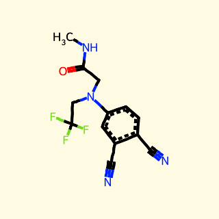 CNC(=O)CN(CC(F)(F)F)c1ccc(C#N)c(C#N)c1